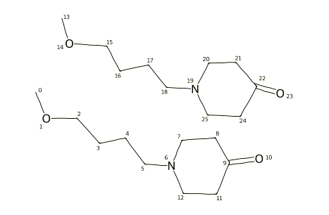 COCCCCN1CCC(=O)CC1.COCCCCN1CCC(=O)CC1